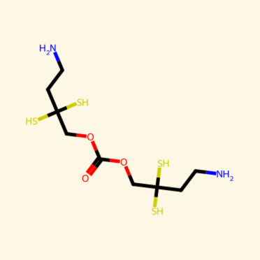 NCCC(S)(S)COC(=O)OCC(S)(S)CCN